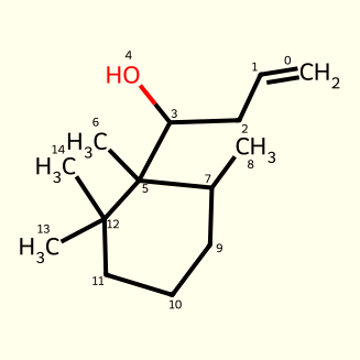 C=CCC(O)C1(C)C(C)CCCC1(C)C